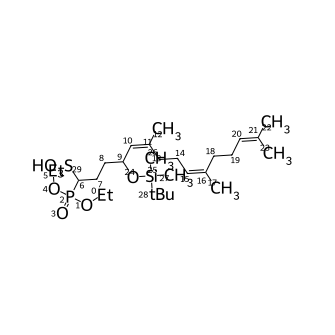 CCOP(=O)(OCC)C(CCC(C=C(C)CCC=C(C)CCC=C(C)C)O[Si](C)(C)C(C)(C)C)S(=O)(=O)O